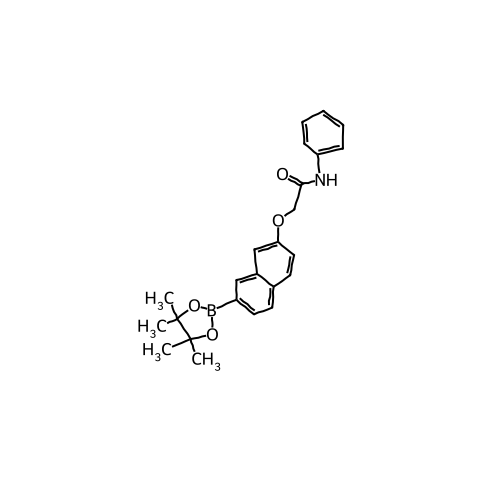 CC1(C)OB(c2ccc3ccc(OCC(=O)Nc4ccccc4)cc3c2)OC1(C)C